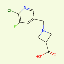 O=C(O)C1CN(Cc2cnc(Cl)c(F)c2)C1